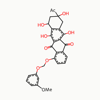 COc1cccc(OCOc2cccc3c2C(=O)c2c(O)c4c(c(O)c2C3=O)CC(O)(C(C)=O)CC4O)c1